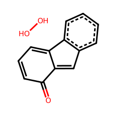 O=C1C=CC=C2C1=Cc1ccccc12.OO